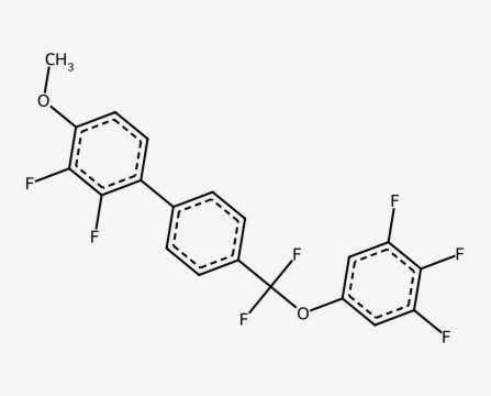 COc1ccc(-c2ccc(C(F)(F)Oc3cc(F)c(F)c(F)c3)cc2)c(F)c1F